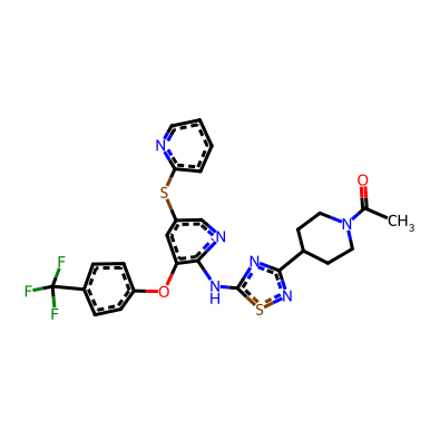 CC(=O)N1CCC(c2nsc(Nc3ncc(Sc4ccccn4)cc3Oc3ccc(C(F)(F)F)cc3)n2)CC1